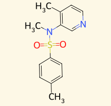 Cc1ccc(S(=O)(=O)N(C)c2cnccc2C)cc1